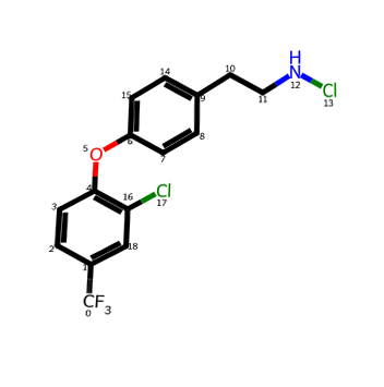 FC(F)(F)c1ccc(Oc2ccc(CCNCl)cc2)c(Cl)c1